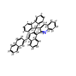 c1ccc2c(c1)-c1ccccc1C21c2cc3ccccc3nc2-c2c1cc(-c1ccc3ccccc3c1)c1ccccc21